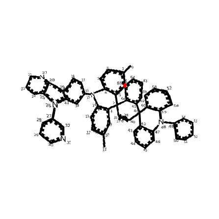 Cc1ccc2c(c1)C1(c3cc(C)ccc3N2c2ccc3c4ncccc4n(-c4cccnc4)c3c2)c2ccccc2C2(c3ccccc3N(c3ccccc3)c3ccccc32)c2ccccc21